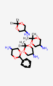 CC1(C)OCC(N)CO1.CCC1(C)OCC(N)CO1.CCC1(CC)OCC(N)CO1.NC1COC(c2ccccc2)OC1